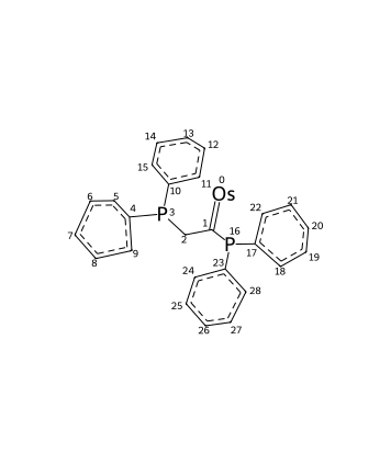 [Os]=[C](CP(c1ccccc1)c1ccccc1)P(c1ccccc1)c1ccccc1